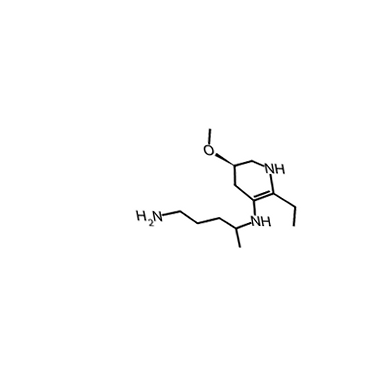 CCC1=C(NC(C)CCCN)C[C@@H](OC)CN1